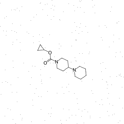 O=C(OC1CC1)N1CCC(N2CCCCC2)CC1